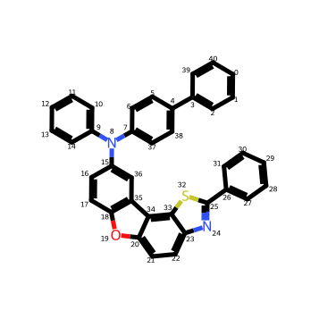 c1ccc(-c2ccc(N(c3ccccc3)c3ccc4oc5ccc6nc(-c7ccccc7)sc6c5c4c3)cc2)cc1